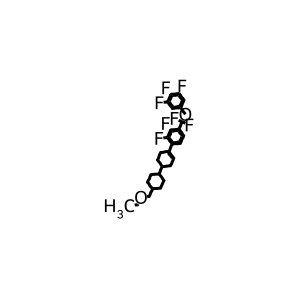 CCOCC1CCC(C2CC=C(c3ccc(C(F)(F)Oc4cc(F)c(F)c(F)c4)c(F)c3F)CC2)CC1